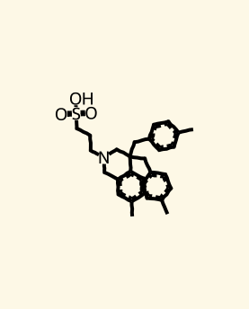 Cc1ccc(CC2(Cc3ccc(C)cc3)CN(CCCS(=O)(=O)O)Cc3cc(C)ccc32)cc1